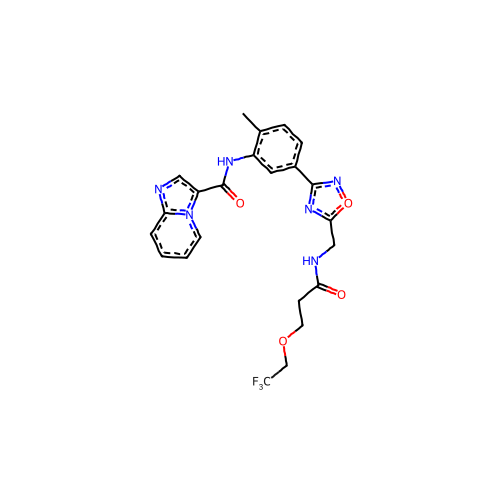 Cc1ccc(-c2noc(CNC(=O)CCOCC(F)(F)F)n2)cc1NC(=O)c1cnc2ccccn12